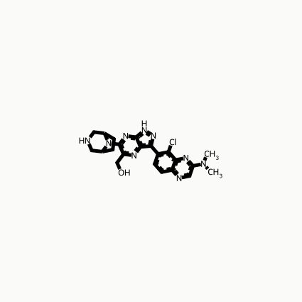 CN(C)c1cnc2ccc(-c3n[nH]c4nc(N5C6CCC5CNC6)c(CO)nc34)c(Cl)c2n1